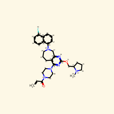 C=CC(=O)N1CCN(c2nc(OCC3CCCN3C)nc3c2CCCN(c2cccc4c(F)cccc24)C3)CC1